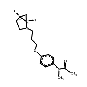 CC(=O)N(C)c1ccc(OCCCN2CC[C@@H]3C[C@@H]32)cc1